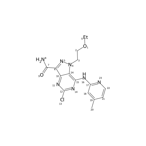 CCOCCn1nc(C(N)=O)c2nc(Cl)nc(Nc3cc(C)ccn3)c21